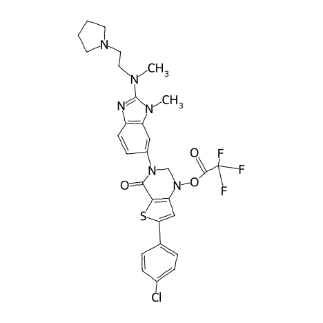 CN(CCN1CCCC1)c1nc2ccc(N3CN(OC(=O)C(F)(F)F)c4cc(-c5ccc(Cl)cc5)sc4C3=O)cc2n1C